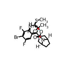 CSc1nc(N2C[C@H]3CC[C@@H](C2)N3C(=O)OC(C)(C)C)c2cc(F)c(Br)c(F)c2n1